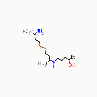 CCC(O)CCCNC(CCSSCCC(N)C(=O)O)C(=O)O